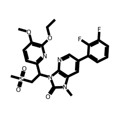 CCOc1nc(C(CS(C)(=O)=O)n2c(=O)n(C)c3cc(-c4cccc(F)c4F)cnc32)ccc1OC